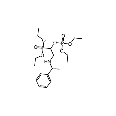 CCOP(=O)(OCC)OC(CN[C@H](C)c1ccccc1)P(=O)(OCC)OCC